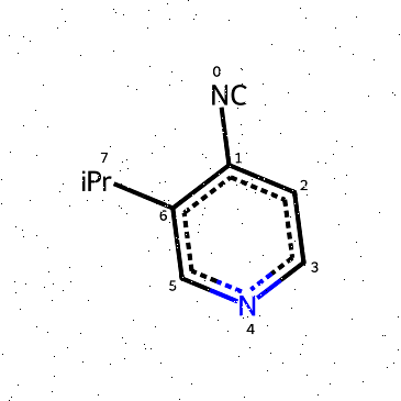 [C-]#[N+]c1ccncc1C(C)C